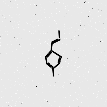 CC=Cc1ccc(C)cc1